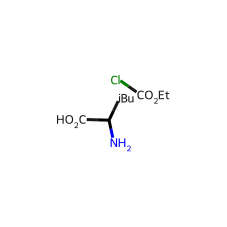 CCC(C)C(N)C(=O)O.CCOC(=O)Cl